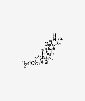 C[C@H](C(=O)Nc1ccc(OCC2CC2)cn1)N1CCN(C(=O)c2ccc(=O)[nH]c2)C(C)(C)C1